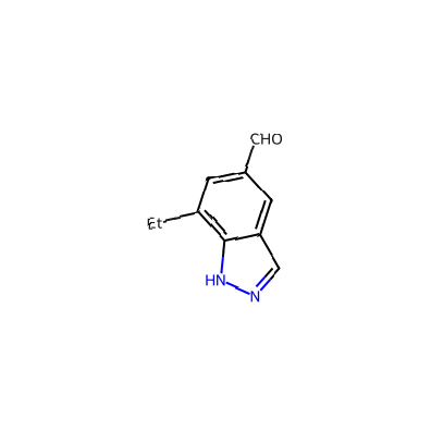 CCc1cc(C=O)cc2cn[nH]c12